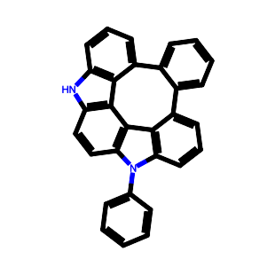 c1ccc(-n2c3cccc4c5ccccc5c5cccc6[nH]c7ccc2c(c7c65)c43)cc1